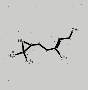 CC(=O)OCC=C(C)CCC1NC1(C)C